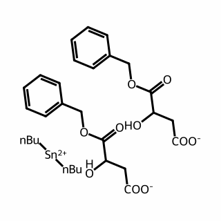 CCC[CH2][Sn+2][CH2]CCC.O=C([O-])CC(O)C(=O)OCc1ccccc1.O=C([O-])CC(O)C(=O)OCc1ccccc1